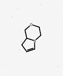 [C]1=CN2CCOCC2C1